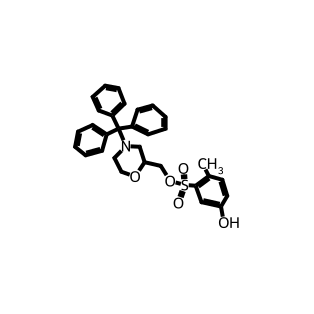 Cc1ccc(O)cc1S(=O)(=O)OCC1CN(C(c2ccccc2)(c2ccccc2)c2ccccc2)CCO1